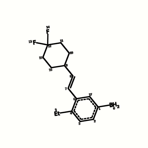 Bc1ccc(CC)c(/C=C/C2CCC(F)(F)CC2)c1